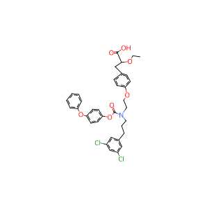 CCOC(Cc1ccc(OCCN(CCCc2cc(Cl)cc(Cl)c2)C(=O)Oc2ccc(Oc3ccccc3)cc2)cc1)C(=O)O